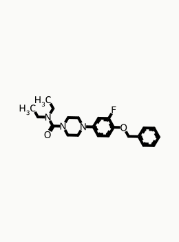 CCN(CC)C(=O)N1CCN(c2ccc(OCc3ccccc3)c(F)c2)CC1